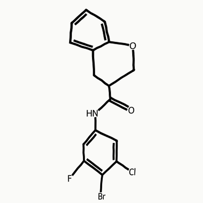 O=C(Nc1cc(F)c(Br)c(Cl)c1)C1COc2ccccc2C1